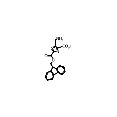 NCc1sc(C(=O)OCC2c3ccccc3-c3ccccc32)nc1C(=O)O